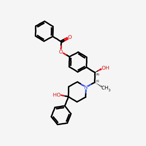 C[C@@H]([C@H](O)c1ccc(OC(=O)c2ccccc2)cc1)N1CCC(O)(c2ccccc2)CC1